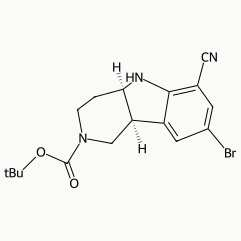 CC(C)(C)OC(=O)N1CC[C@H]2Nc3c(C#N)cc(Br)cc3[C@H]2C1